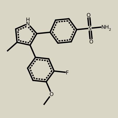 COc1ccc(-c2c(C)c[nH]c2-c2ccc(S(N)(=O)=O)cc2)cc1F